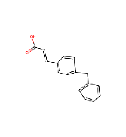 O=C(O)C=Cc1ccc(Cc2ccccc2)cc1